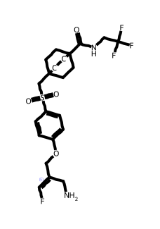 NC/C(=C\F)COc1ccc(S(=O)(=O)CC23CCC(C(=O)NCC(F)(F)F)(CC2)CC3)cc1